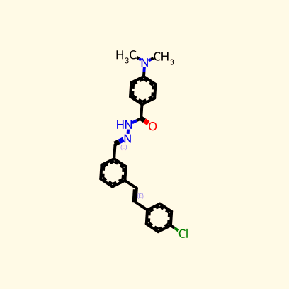 CN(C)c1ccc(C(=O)N/N=C/c2cccc(/C=C/c3ccc(Cl)cc3)c2)cc1